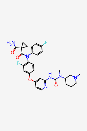 CN1CCCC(N(C)C(=O)Nc2cc(Oc3ccc(N(C(=O)C4(C(N)=O)CC4)c4ccc(F)cc4)c(F)c3)ccn2)C1